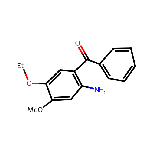 CCOc1cc(C(=O)c2ccccc2)c(N)cc1OC